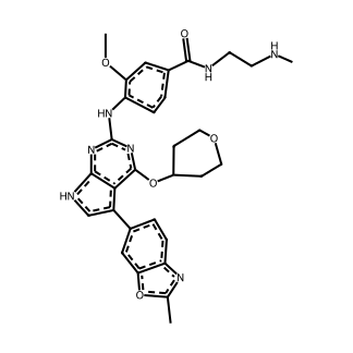 CNCCNC(=O)c1ccc(Nc2nc(OC3CCOCC3)c3c(-c4ccc5nc(C)oc5c4)c[nH]c3n2)c(OC)c1